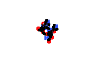 CCn1nc(C)cc1C(=O)Nc1nc2cc(C=O)cc3c2n1C/C=C/Cn1c(NC(=O)c2cc(C)nn2CC)nc2cc(C(=O)NCC=O)cc(c21)OCCCO3